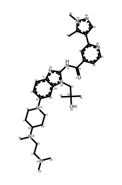 Cc1c(-c2cc(C(=O)Nc3nc4ccc(N5CCC(N(C)CCN(C)C)CC5)cc4n3CC(C)(C)O)ccn2)cnn1C